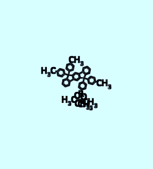 Cc1ccc(C2(c3ccc(C)cc3)c3ccccc3-c3cc4c(cc32)-c2ccccc2C4(c2ccc(C)cc2)c2ccc(B3OC(C)(C)C(C)(C)O3)cc2)cc1